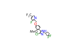 COc1cc(OCc2ncc(C(F)(F)F)cc2F)ccc1-c1[nH]c(C2CCC(F)(F)C2)nc1Cl